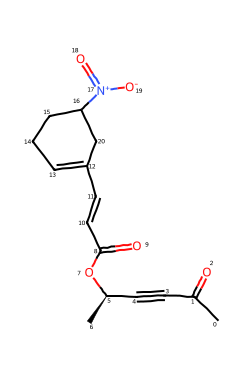 CC(=O)C#C[C@@H](C)OC(=O)/C=C/C1=CCCC([N+](=O)[O-])C1